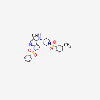 N#Cc1cnc2c(ccn2S(=O)(=O)c2ccccc2)c1NC1CCN(S(=O)(=O)c2cccc(C(F)(F)F)c2)CC1